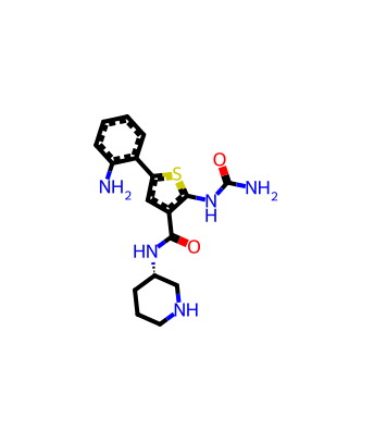 NC(=O)Nc1sc(-c2ccccc2N)cc1C(=O)N[C@H]1CCCNC1